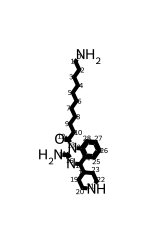 NCCCCCCCCCCC(=O)N1C(N)=NC(C2CCNCC2)c2ccccc21